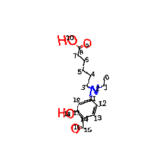 CCN(CCCCCC(=O)O)c1ccc(C=O)c(O)c1